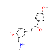 COc1ccc(C(=O)C=Cc2ccc(OC)c(CN(C)C)c2)cc1